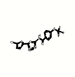 O=C(Nc1nnc(-c2ccc(Cl)s2)o1)c1ccc(SC(F)(F)F)cc1